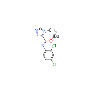 CCC(C)OC(=Nc1ccc(Cl)cc1Cl)c1cncn1C